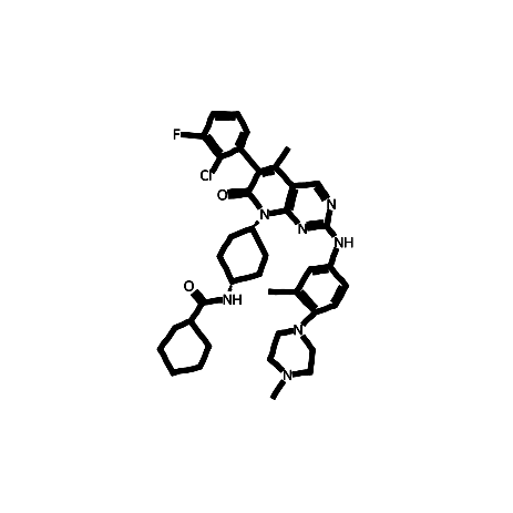 Cc1cc(Nc2ncc3c(C)c(-c4cccc(F)c4Cl)c(=O)n([C@H]4CC[C@@H](NC(=O)C5CCCCC5)CC4)c3n2)ccc1N1CCN(C)CC1